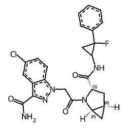 NC(=O)c1nn(CC(=O)N2[C@@H]3C[C@@H]3C[C@H]2C(=O)NC2CC2(F)c2ccccc2)c2ccc(Cl)cc12